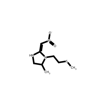 CSCCN1C(=C[N+](=O)[O-])NCC1C